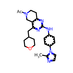 CC(=O)N1CCc2nc(Nc3ccc(-n4ccnc4C)cc3)nc(CC3CCOCC3)c2C1